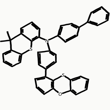 CC1(C)c2ccccc2Sc2c(N(c3ccc(-c4ccccc4)cc3)c3ccc(-c4cccc5c4Sc4ccccc4O5)cc3)cccc21